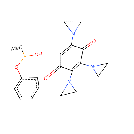 COP(O)Oc1ccccc1.O=C1C=C(N2CC2)C(=O)C(N2CC2)=C1N1CC1